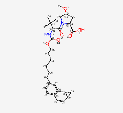 CO[C@H]1C[C@@H](C(=O)O)N(C(=O)[C@@H](NC(=O)OCCCCCCc2ccc3c(c2)C2CC2C=C3)C(C)(C)C)C1